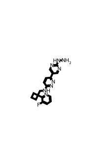 NNc1ncc(-c2ccc(NCC3(c4ncccc4F)CCC3)nn2)cn1